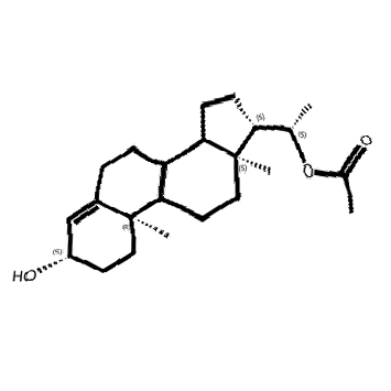 CC(=O)O[C@@H](C)[C@H]1CCC2C3CCC4=C[C@@H](O)CC[C@]4(C)C3CC[C@@]21C